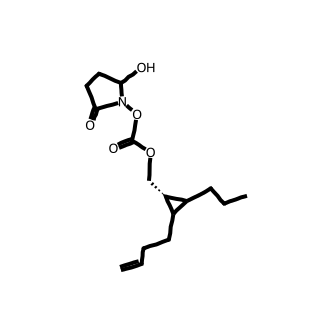 C=CCCC1C(CCC)[C@H]1COC(=O)ON1C(=O)CCC1O